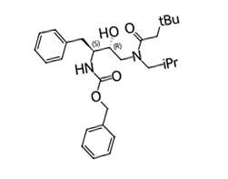 CC(C)CN(C[C@@H](O)[C@H](Cc1ccccc1)NC(=O)OCc1ccccc1)C(=O)CC(C)(C)C